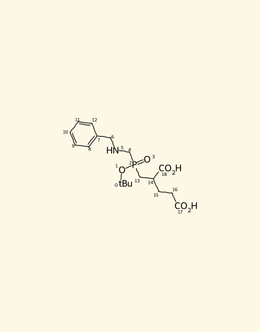 CC(C)(C)OP(=O)(CNCc1ccccc1)CC(CCC(=O)O)C(=O)O